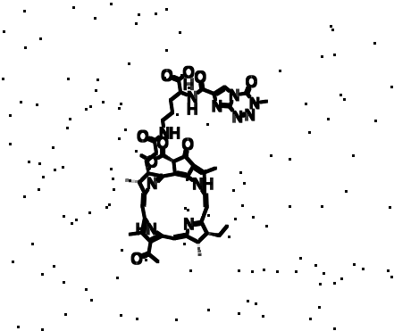 CC[C@@H]1c2cc3[nH]c4c(c3C)C(=O)[C@H](C(=O)OC)c4c3nc(cc4[nH]c(cc(n2)[C@H]1C)c(C(C)=O)c4C)[C@H](C)[C@H]3CCC(=O)NCCCC(NC(=O)c1cn2c(=O)n(C)nnc2n1)C(=O)O